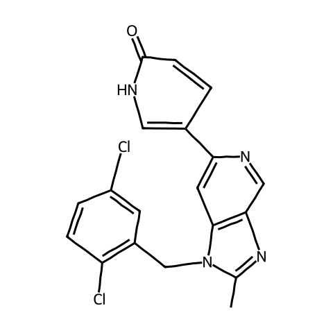 Cc1nc2cnc(-c3ccc(=O)[nH]c3)cc2n1Cc1cc(Cl)ccc1Cl